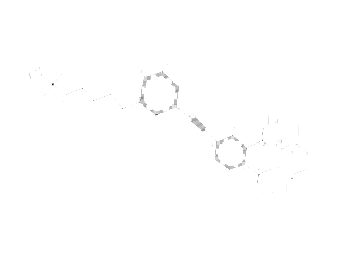 C[SiH](C)OC(c1ccc(C#Cc2cccc(CCCCCC(C)(C)O)c2)cc1C(O[SiH](C)C)C(C)(C)C)C(C)(C)C